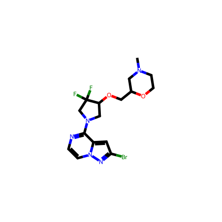 CN1CCOC(COC2CN(c3nccn4nc(Br)cc34)CC2(F)F)C1